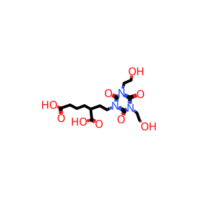 O=C(O)CCCC(CCn1c(=O)n(CCO)c(=O)n(CCO)c1=O)C(=O)O